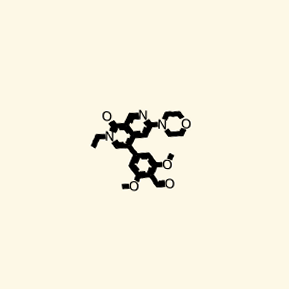 CCn1cc(-c2cc(OC)c(C=O)c(OC)c2)c2cc(N3CCOCC3)ncc2c1=O